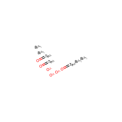 O=[Te-2].O=[Te-2].O=[Te-2].[Bi+3].[Bi+3].[Bi+3].[Bi+3].[O-2].[O-2].[O-2]